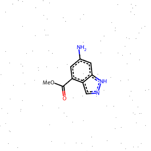 COC(=O)c1cc(N)cc2[nH]ncc12